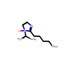 CCCCCCCCCCCCCC1=NCC[N+]1([O-])C(C)NC(C)=O